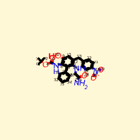 CC(C)(C)OC(=O)Nc1c(O)cc(Cc2ccc([N+](=O)[O-])cc2)c(NCC(N)=O)c1-c1ccccc1